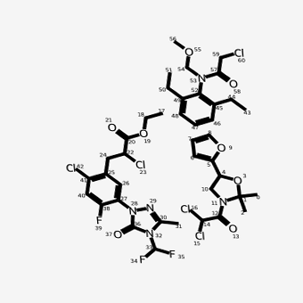 CC1(C)OC(c2ccco2)CN1C(=O)C(Cl)Cl.CCOC(=O)C(Cl)Cc1cc(-n2nc(C)n(C(F)F)c2=O)c(F)cc1Cl.CCc1cccc(CC)c1N(COC)C(=O)CCl